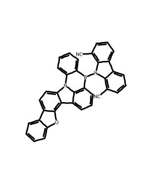 N#Cc1cccc2c3cccc(C#N)c3n(B3c4ccccc4-n4c5ccc6c7ccccc7oc6c5c5cccc3c54)c12